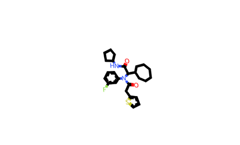 O=C(NC1CCCC1)C(C1CCCCCC1)N(C(=O)Cc1cccs1)c1cccc(F)c1